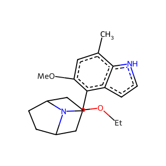 CCOC1CC2CCC(C1)N2Cc1c(OC)cc(C)c2[nH]ccc12